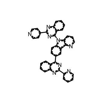 c1ccc(-c2nc(-c3ccc4c(c3)c3ncccc3n4-c3nc(-c4ccncc4)nc4ccccc34)c3ccccc3n2)nc1